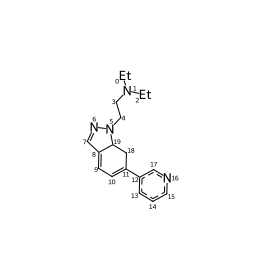 CCN(CC)CCN1N=CC2=CC=C(c3cccnc3)CC21